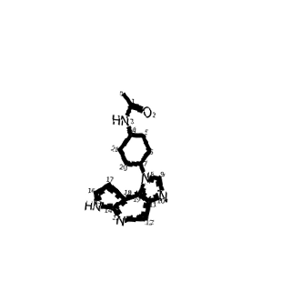 CC(=O)NC1CCC(n2cnc3cnc4[nH]ccc4c32)CC1